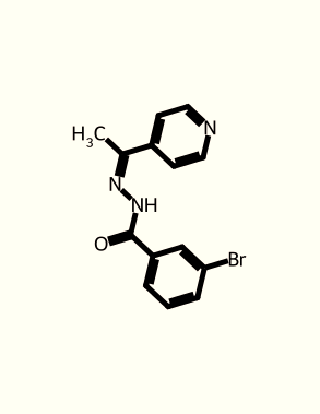 CC(=NNC(=O)c1cccc(Br)c1)c1ccncc1